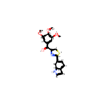 COc1cc(C(=O)C2CSC(C3=CC=C4C=CN=C4C3)=N2)cc(OC)c1OC